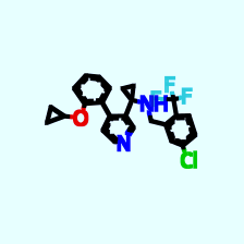 FC(F)(F)c1ccc(Cl)cc1CNC1(c2cnccc2-c2ccccc2OC2CC2)CC1